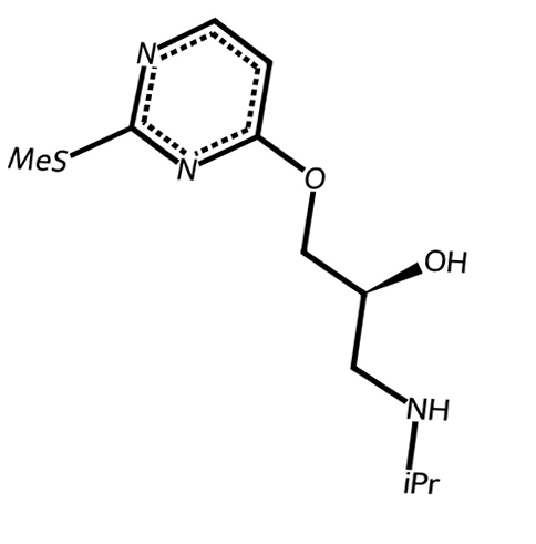 CSc1nccc(OC[C@@H](O)CNC(C)C)n1